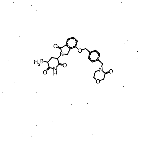 BC1CC(N2Cc3c(OCc4ccc(CN5CCOCC5=O)cc4)cccc3C2=O)C(=O)NC1=O